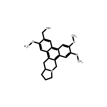 COc1cc2c3c(c4cc(OC)c(OC)cc4c2cc1CO)CN1CCCC1C3